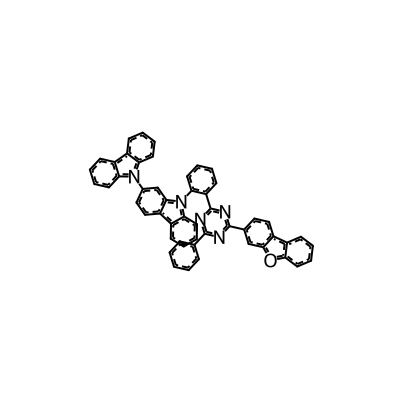 c1ccc(-c2nc(-c3ccc4c(c3)oc3ccccc34)nc(-c3ccccc3-n3c4ccccc4c4ccc(-n5c6ccccc6c6ccccc65)cc43)n2)cc1